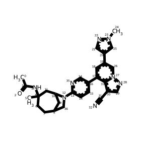 CC(=O)NC1(C)CCC2CC(C1)N(c1ccc(-c3cc(-c4cnn(C)c4)cn4ncc(C#N)c34)cn1)C2